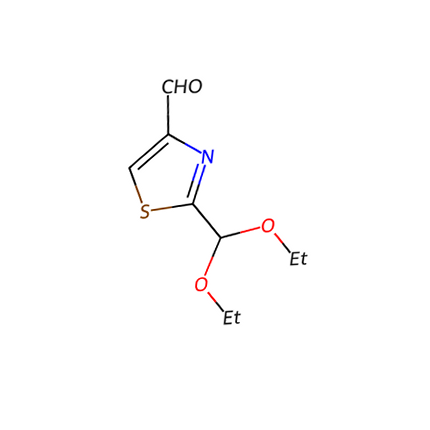 CCOC(OCC)c1nc(C=O)cs1